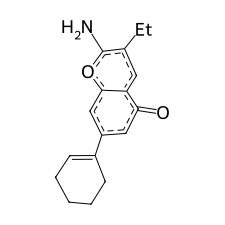 CCc1cc2c(=O)cc(C3=CCCCC3)cc-2oc1N